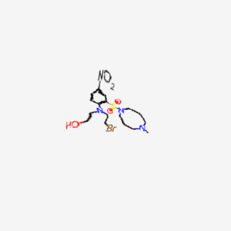 CN1CCCN(S(=O)(=O)c2cc([N+](=O)[O-])ccc2N(CCO)CCBr)CCC1